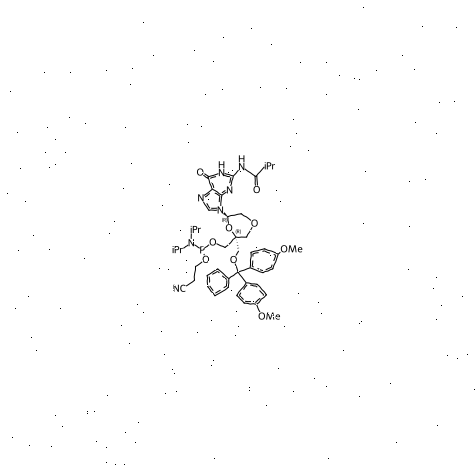 COc1ccc(C(OC[C@@]2(COP(OCCC#N)N(C(C)C)C(C)C)COC[C@H](n3cnc4c(=O)[nH]c(NC(=O)C(C)C)nc43)O2)(c2ccccc2)c2ccc(OC)cc2)cc1